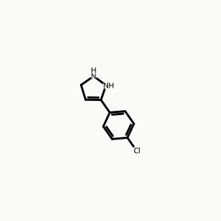 Clc1ccc(C2=CCNN2)cc1